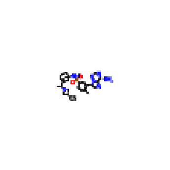 Cc1ccc(S(=O)(=O)NC23CCCC(C(C)N4CC(C#N)C4)(C2)C3)cc1-c1cnc2c(N)ncnn12